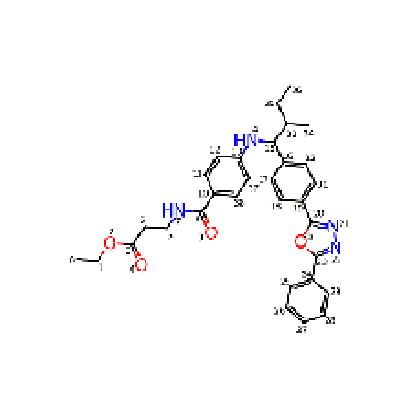 CCOC(=O)CCNC(=O)c1ccc(N[C@H](c2ccc(-c3nnc(-c4ccccc4)o3)cc2)C(C)CC)cc1